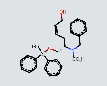 CC(C)(C)[Si](OC[C@H](C/C=C\CO)N(Cc1ccccc1)C(=O)O)(c1ccccc1)c1ccccc1